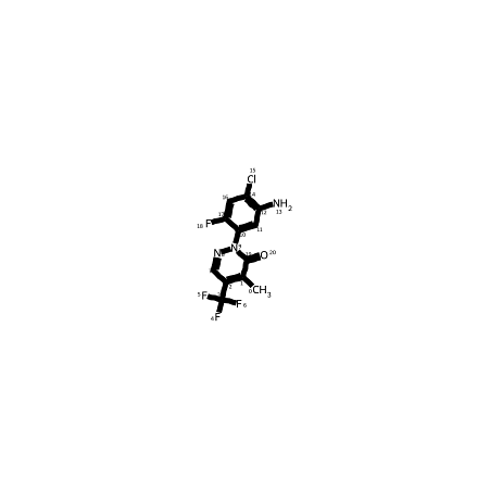 Cc1c(C(F)(F)F)cnn(-c2cc(N)c(Cl)cc2F)c1=O